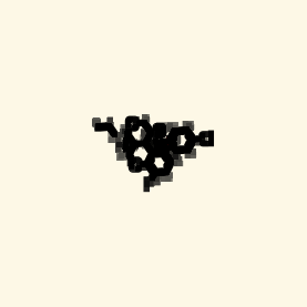 C=CC[C@@H]1OCC[C@@]2(S(=O)(=O)c3ccc(Cl)cc3)c3c(F)ccc(F)c3OC[C@@H]12